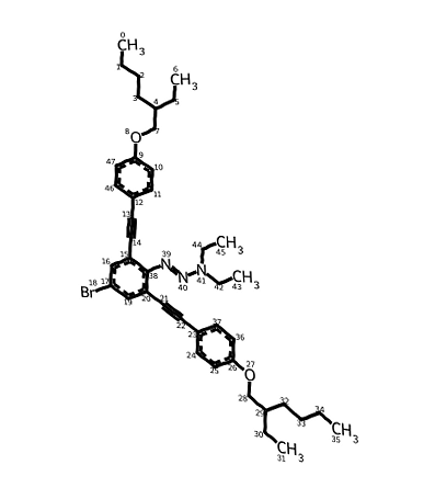 CCCCC(CC)COc1ccc(C#Cc2cc(Br)cc(C#Cc3ccc(OCC(CC)CCCC)cc3)c2/N=N/N(CC)CC)cc1